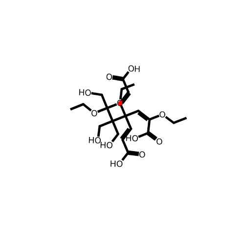 CCOC(=CC(C=CC(=O)O)(C=CC(=O)O)C(CO)(CO)C(CO)(OCC)OCC)C(=O)O